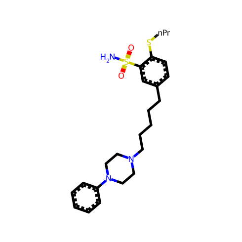 CCCSc1ccc(CCCCCN2CCN(c3ccccc3)CC2)cc1S(N)(=O)=O